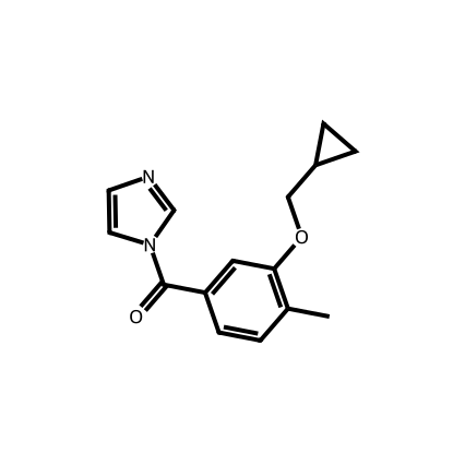 Cc1ccc(C(=O)n2ccnc2)cc1OCC1CC1